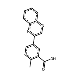 [CH2]c1ccc(-c2cnc3ccccc3n2)cc1C(=O)O